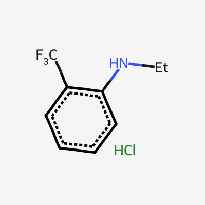 CCNc1ccccc1C(F)(F)F.Cl